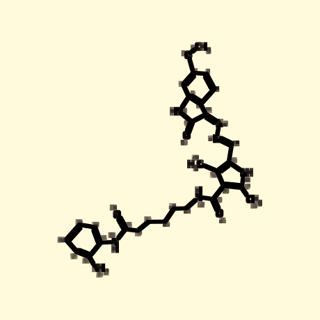 COc1ccc2c(c1)NC(=O)/C2=N\N=C\c1[nH]c(C)c(C(=O)NCCCCCC(=O)Nc2ccccc2N)c1C